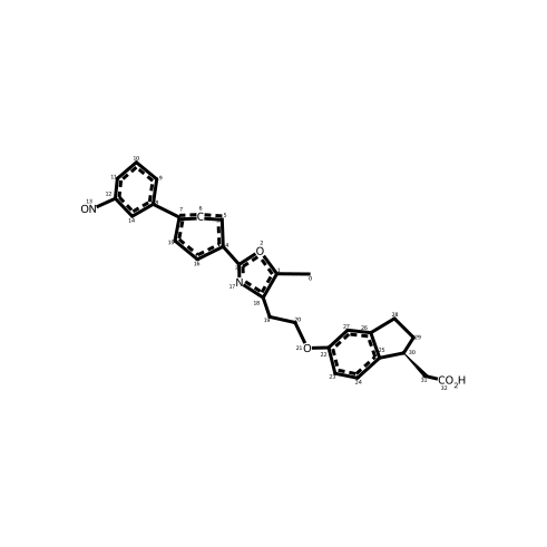 Cc1oc(-c2ccc(-c3cccc(N=O)c3)cc2)nc1CCOc1ccc2c(c1)CC[C@H]2CC(=O)O